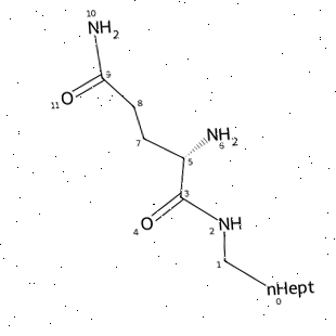 CCCCCCCCNC(=O)[C@@H](N)CCC(N)=O